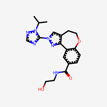 CC(C)n1ncnc1-n1cc2c(n1)-c1cc(C(=O)NCCO)ccc1OCC2